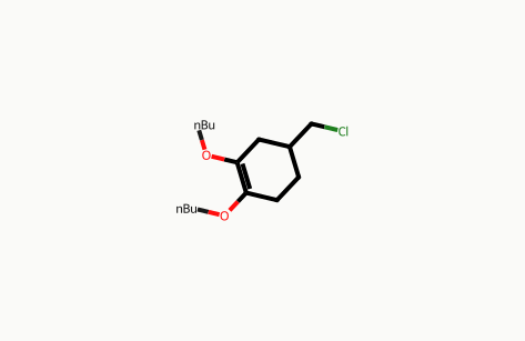 CCCCOC1=C(OCCCC)CC(CCl)CC1